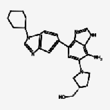 Nc1c(N2CC[C@H](CO)C2)cc(-c2ccc3c(c2)ncn3C2CCCCC2)c2nc[nH]c12